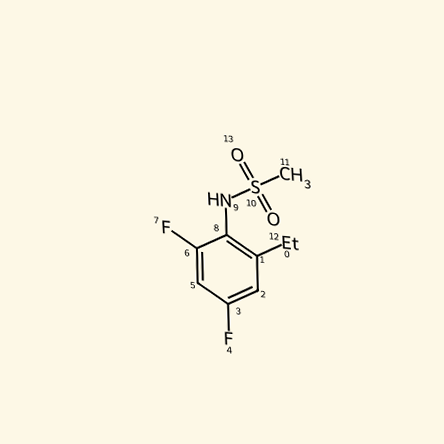 CCc1cc(F)cc(F)c1NS(C)(=O)=O